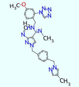 C=Nc1nn(Cc2ccc(Cn3cc(C)cn3)cc2)cc1/C(=N\C)NCc1ccc(OC)cc1-n1cnnn1